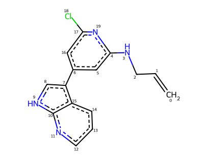 C=CCNc1cc(-c2c[nH]c3ncccc23)cc(Cl)n1